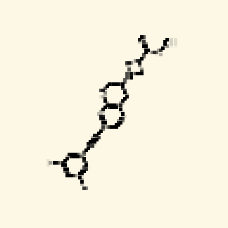 COC(=O)C1CN(C2COc3cc(C#Cc4cc(F)cc(F)c4)ccc3C2)C1